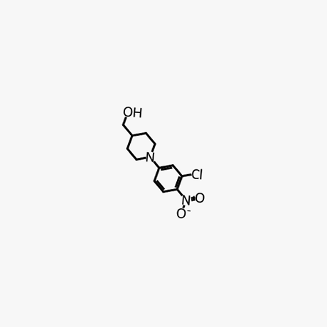 O=[N+]([O-])c1ccc(N2CCC(CO)CC2)cc1Cl